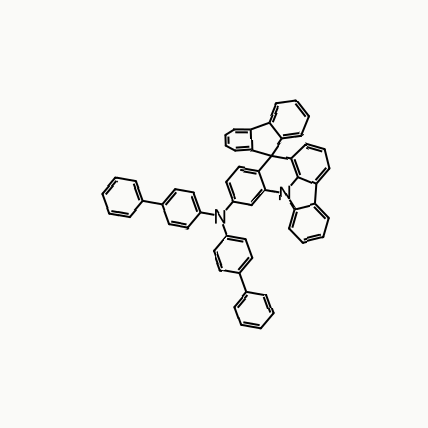 c1ccc(-c2ccc(N(c3ccc(-c4ccccc4)cc3)c3ccc4c(c3)-n3c5ccccc5c5cccc(c53)C43c4ccccc4-c4ccccc43)cc2)cc1